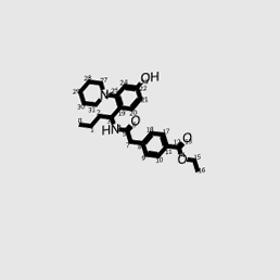 CCCC(NC(=O)Cc1ccc(C(=O)OCC)cc1)c1ccc(O)cc1N1CCCCC1